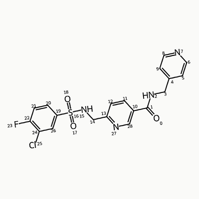 O=C(NCc1ccncc1)c1ccc(CNS(=O)(=O)c2ccc(F)c(Cl)c2)nc1